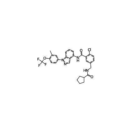 Cc1cc(-n2ncc3c(NC(=O)c4cc(CNC(=O)C5CCCC5)ccc4Cl)cccc32)ccc1OC(F)(F)F